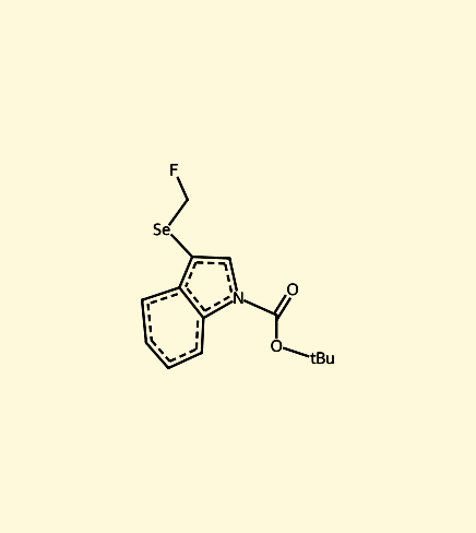 CC(C)(C)OC(=O)n1cc([Se]CF)c2ccccc21